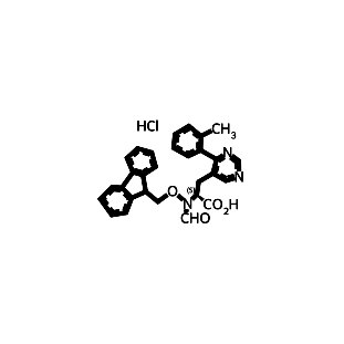 Cc1ccccc1-c1ncncc1C[C@@H](C(=O)O)N(C=O)OCC1c2ccccc2-c2ccccc21.Cl